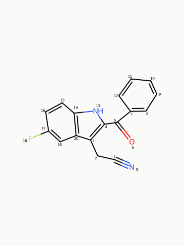 N#CCc1c(C(=O)c2ccccc2)[nH]c2ccc(F)cc12